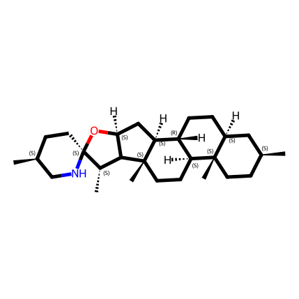 C[C@H]1CC[C@]2(NC1)O[C@H]1C[C@H]3[C@@H]4CC[C@H]5C[C@@H](C)CC[C@]5(C)[C@H]4CC[C@]3(C)C1[C@@H]2C